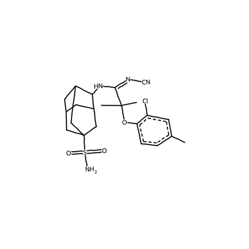 Cc1ccc(OC(C)(C)/C(=N\C#N)NC2C3CC4CC2CC(S(N)(=O)=O)(C4)C3)c(Cl)c1